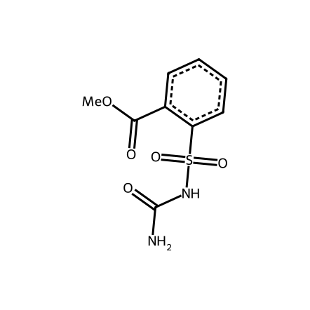 COC(=O)c1ccccc1S(=O)(=O)NC(N)=O